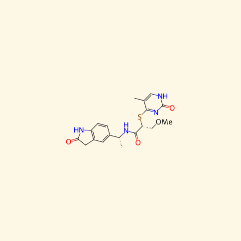 COC[C@@H](Sc1nc(=O)[nH]cc1C)C(=O)N[C@H](C)c1ccc2c(c1)CC(=O)N2